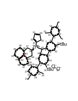 Cc1cc(C)c(-c2cc3c(cc2C(C)(C)C)-c2cc(C(C)(C)C)c(-c4c(C)cc(C)cc4C)cc2[CH]3[Zr+2]([C]2=CC=CC2)=[C](Cc2ccccc2)Cc2ccccc2)c(C)c1.[Cl-].[Cl-]